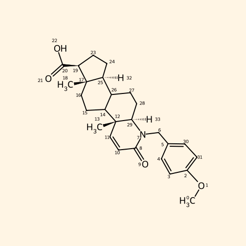 COc1ccc(CN2C(=O)C=C[C@]3(C)C4CC[C@]5(C)[C@@H](C(=O)O)CC[C@H]5C4CC[C@@H]23)cc1